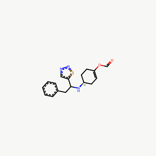 O=COC1=CC[C@@H](NC(Cc2ccccc2)c2cnns2)CC1